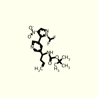 C=CCC(NC(=O)OC(C)(C)C)c1cncc(-c2c([N+](=O)[O-])cnn2C(F)F)c1